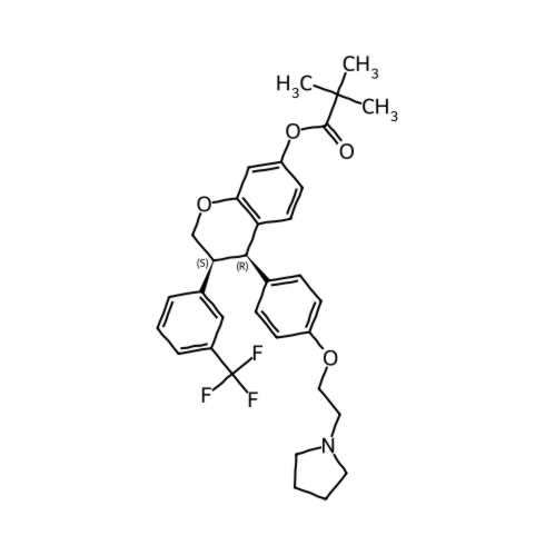 CC(C)(C)C(=O)Oc1ccc2c(c1)OC[C@H](c1cccc(C(F)(F)F)c1)[C@@H]2c1ccc(OCCN2CCCC2)cc1